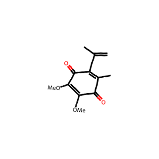 C=C(C)C1=C(C)C(=O)C(OC)=C(OC)C1=O